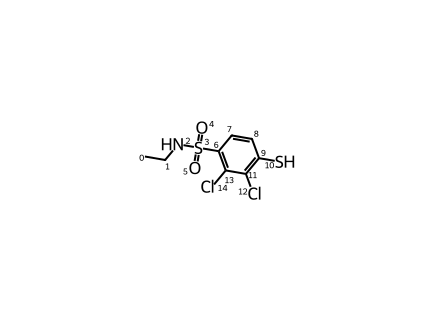 CCNS(=O)(=O)c1ccc(S)c(Cl)c1Cl